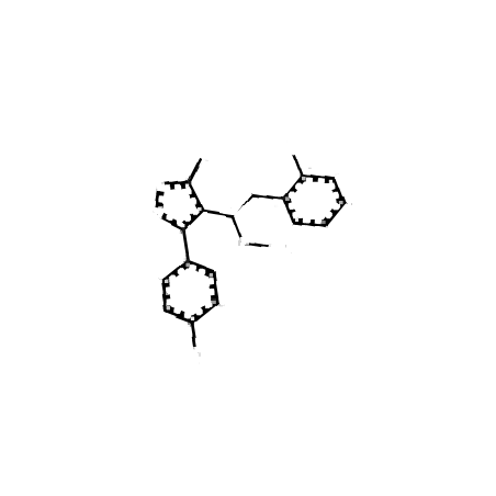 Cc1onc(-c2ccc(Br)cc2)c1[C@@H](Cc1ccccc1Cl)NC(=O)O